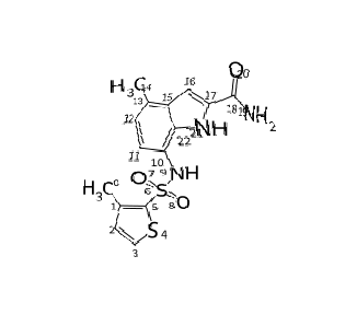 Cc1ccsc1S(=O)(=O)Nc1ccc(C)c2cc(C(N)=O)[nH]c12